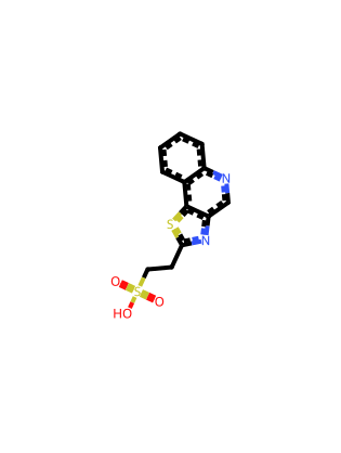 O=S(=O)(O)CCc1nc2cnc3ccccc3c2s1